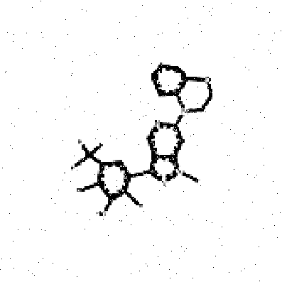 Cn1nc(-c2cc(C(F)(F)F)c(F)c(O)c2F)c2cnc(N3CCOc4ccccc43)cc21